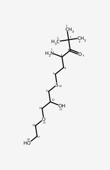 CC(C)(C)C(=O)C(N)CCSCC(O)COCCO